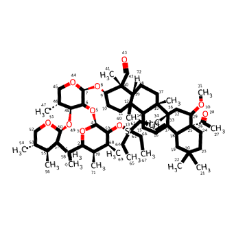 CCC1O[C@@H](OC2[C@H](O[C@H]3CCC4(C)C5CC=C6C7CC(C)(C)CC[C@]7(C(C)=O)C(OC)C[C@@]6(C)[C@@]5(C)CC[C@H]4[C@@]3(C)C=O)OC[C@@H](C)[C@@H]2O[C@@H]2OC[C@@H](C)[C@H](C)C2C)C(O[Si](CC)(CC)CC)[C@@H](C)[C@H]1C